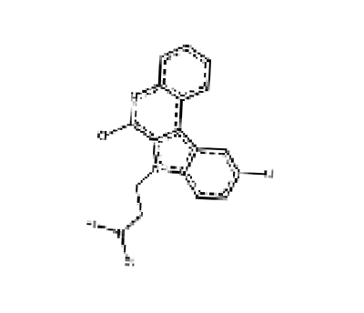 CCN(CC)CCn1c2ccc(Cl)cc2c2c3ccccc3nc(Cl)c21